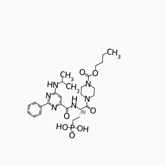 CCCCOC(=O)N1CCN(C(=O)[C@H](CCP(=O)(O)O)NC(=O)c2cc(NC(C)C)nc(-c3ccccc3)n2)CC1